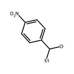 CCC([O])c1ccc([N+](=O)[O-])cc1